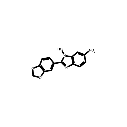 O=[N+]([O-])c1ccc2nc(-c3ccc4c(c3)OCO4)n(O)c2c1